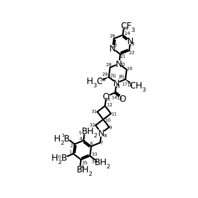 Bc1c(B)c(B)c(CN2CC3(CC(OC(=O)N4[C@H](C)CN(c5cnc(C(F)(F)F)cn5)C[C@@H]4C)C3)C2)c(B)c1B